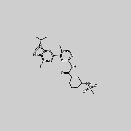 Cc1cnc(NC(=O)C2CCCC(NS(C)(=O)=O)C2)cc1-c1cc(F)c2ncn(C(C)C)c2c1